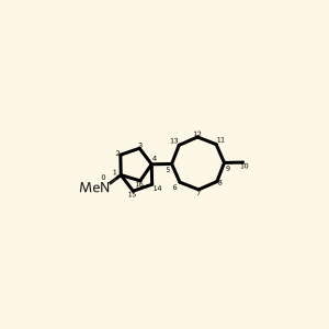 CNC12CCC(C3CCCC(C)CCC3)(CC1)C2